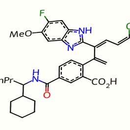 C=C(/C(=C\C=C/Cl)c1nc2cc(OC)c(F)cc2[nH]1)c1ccc(C(=O)NC(CCC)C2CCCCC2)cc1C(=O)O